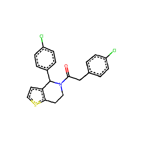 O=C(Cc1ccc(Cl)cc1)N1CCc2sccc2C1c1ccc(Cl)cc1